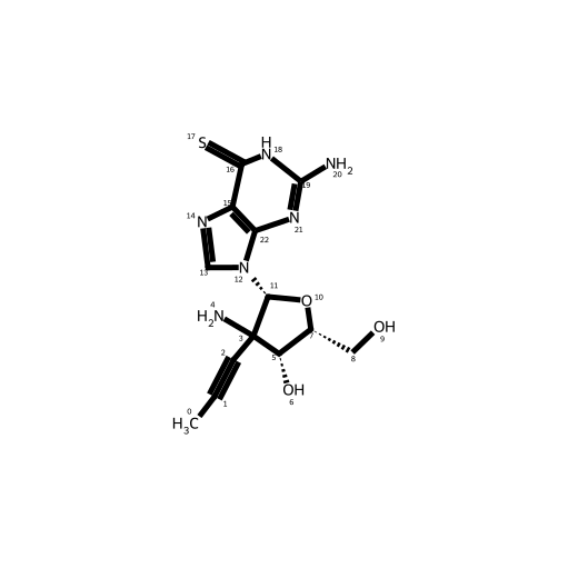 CC#CC1(N)[C@@H](O)[C@@H](CO)O[C@H]1n1cnc2c(=S)[nH]c(N)nc21